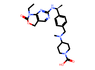 CCN1C(=O)OCc2cnc(N[C@@H](C)c3ccc(CN(C)C4CCN(C(=O)O)CC4)cc3)nc21